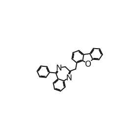 c1ccc(C2=NCC(Cc3cccc4c3oc3ccccc34)=Nc3ccccc32)cc1